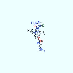 CCN1c2ccc(OCC(=O)NCCCN)cc2N(CC)C1CNC(=O)c1nc(Cl)cnc1N